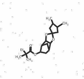 CCC(C)(C)C(=O)OC1CC2CC1C1OC3(CC(C)C(C)C3)OC21